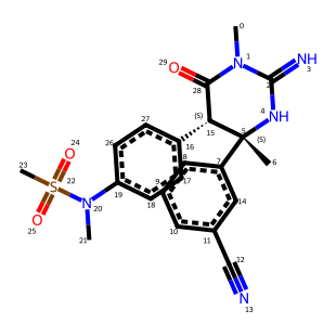 CN1C(=N)N[C@](C)(c2cccc(C#N)c2)[C@H](c2ccc(N(C)S(C)(=O)=O)cc2)C1=O